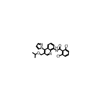 CC(C)OCc1cnc2c(NC(=O)c3c(Cl)cccc3Cl)cccc2c1-n1cccn1